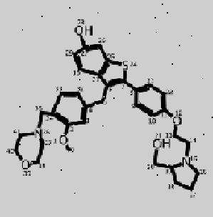 COc1cc(Cc2c(-c3ccc(OCCN4CCCC4CO)cc3)sc3cc(O)ccc23)ccc1CN1CCOCC1